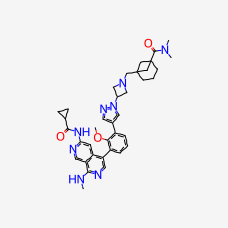 CNc1ncc(-c2cccc(-c3cnn(C4CN(CC56CCCC(C(=O)N(C)C)(C5)C6)C4)c3)c2OC)c2cc(NC(=O)C3CC3)ncc12